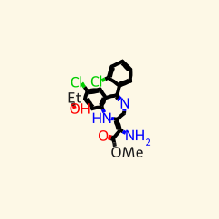 CCO.COC(=O)C(N)=C1CN=C(c2ccccc2Cl)c2cc(Cl)ccc2N1